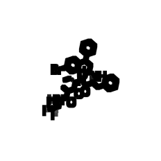 CC[C@H](NC(=O)C(Cc1ccccc1)NC(=O)CC(c1ccccc1)c1ccc(Br)cc1)C(=O)C(C)C(=O)NCC(F)(F)F